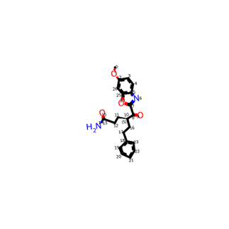 COc1ccc2nc(C(=O)[C@H](CCC(N)=O)CCc3ccccc3)oc2c1